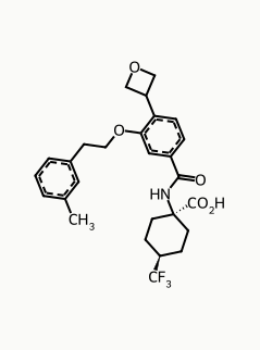 Cc1cccc(CCOc2cc(C(=O)N[C@]3(C(=O)O)CC[C@H](C(F)(F)F)CC3)ccc2C2COC2)c1